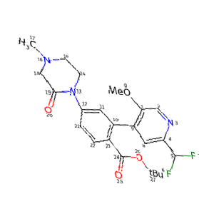 COc1cnc(C(F)F)cc1-c1cc(N2CCN(C)CC2=O)ccc1C(=O)OC(C)(C)C